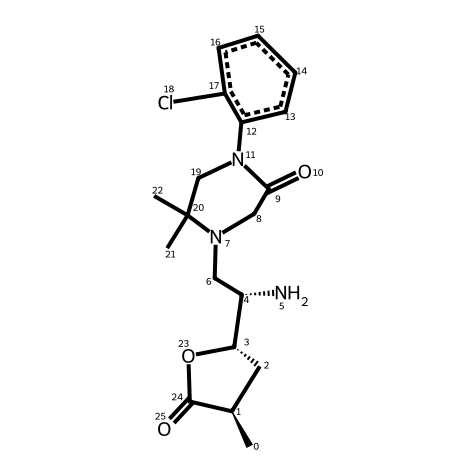 C[C@@H]1C[C@@H]([C@@H](N)CN2CC(=O)N(c3ccccc3Cl)CC2(C)C)OC1=O